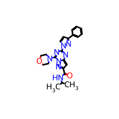 CC(C)NC(=O)c1cc2nc(-n3ccc(-c4ccccc4)n3)nc(N3CCOCC3)n2n1